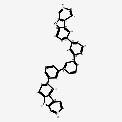 c1cc(-c2cccc(-c3ccc4oc5cnccc5c4c3)c2)cc(-c2cccc(-c3ccc4oc5cnccc5c4c3)c2)c1